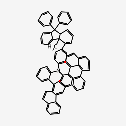 CC12C(c3ccc(N(c4ccccc4-c4cccc5c4ccc4ccccc45)c4ccccc4-c4cccc5cccc(-c6ccccc6)c45)cc3)=CC=CC1C(c1ccccc1)(c1ccccc1)c1ccccc12